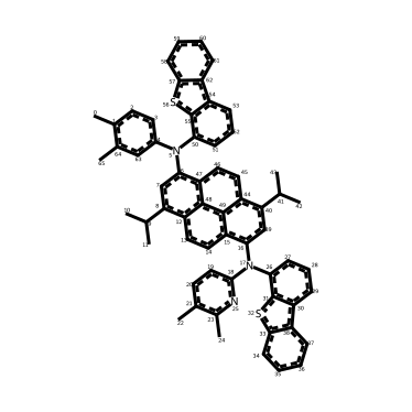 Cc1ccc(N(c2cc(C(C)C)c3ccc4c(N(c5ccc(C)c(C)n5)c5cccc6c5sc5ccccc56)cc(C(C)C)c5ccc2c3c54)c2cccc3c2sc2ccccc23)cc1C